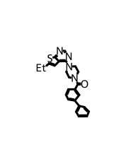 CCc1cc2c(N3CCN(C(=O)c4cccc(-c5ccccc5)c4)CC3)ncnc2s1